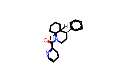 O=C(C1=NC=CCC1)N1CC[C@H](c2ccccc2)[C@H]2CCCC[C@H]21